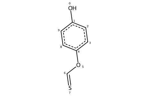 Oc1ccc(OC=S)cc1